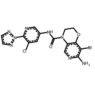 Nc1ncc2c(c1Br)OCCN2C(=O)Nc1cnc(-n2nccn2)c(Cl)c1